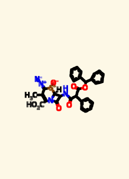 CC1=C(C(=O)O)N2C(=O)C(NC(=O)C(C(=O)OC(c3ccccc3)c3ccccc3)c3ccccc3)[C@@H]2[S@@+]([O-])C1=[N+]=[N-]